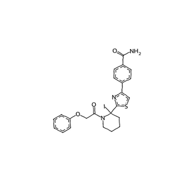 NC(=O)c1ccc(-c2csc(C3(I)CCCCN3C(=O)COc3ccccc3)n2)cc1